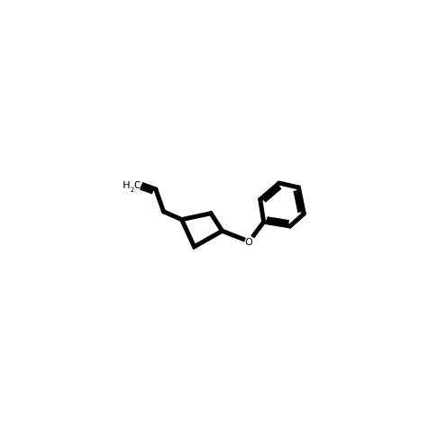 C=CCC1CC(Oc2ccccc2)C1